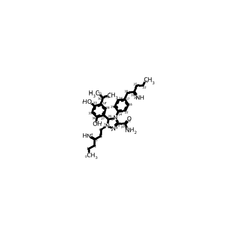 CCCC(=N)CCN1N=C(C(N)=O)N(c2ccc(CC(=N)CCC)cc2)C1c1cc(C(C)C)c(O)cc1O